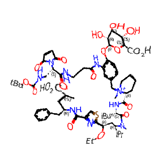 CCO[C@H](C[C@H](C(C)C)N(C)C(=O)[C@@H](NC(=O)[C@H]1CCCC[N+]1(C)Cc1ccc(O[C@@H]2O[C@H](C(=O)O)[C@@H](O)[C@H](O)[C@H]2O)c(NC(=O)CCNC(=O)[C@H](CNC(=O)OC(C)(C)C)N2C(=O)C=CC2=O)c1)[C@@H](C)CC)c1nc(C(=O)N[C@@H](Cc2ccccc2)C[C@H](C)C(=O)O)cs1